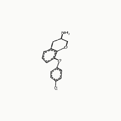 NC1COc2c(cccc2Oc2ccc(Cl)cc2)C1